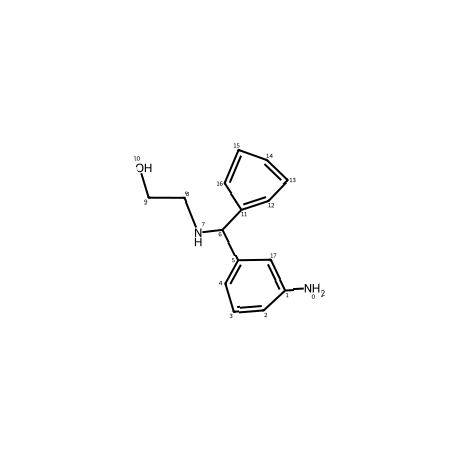 Nc1cccc(C(NCCO)c2ccccc2)c1